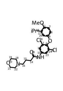 COc1ccc(Oc2c(Cl)cc(NC(=O)CCCN3CCOCC3)cc2Cl)cc1C(C)C